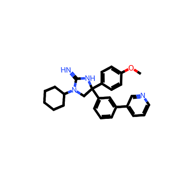 COc1ccc(C2(c3cccc(-c4cccnc4)c3)CN(C3CCCCC3)C(=N)N2)cc1